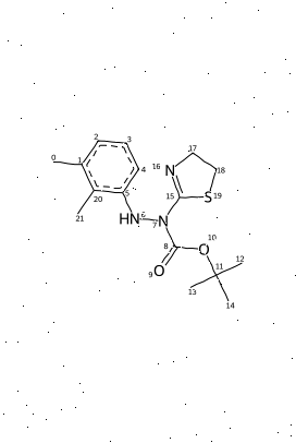 Cc1cccc(NN(C(=O)OC(C)(C)C)C2=NCCS2)c1C